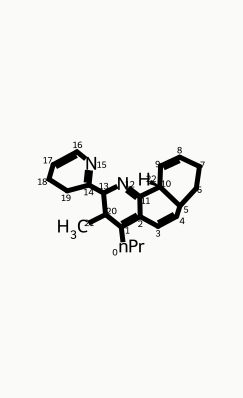 CCCC1=C2C=CC3CCC=C[C@H]3C2=NC(C2=NC=CCC2)C1C